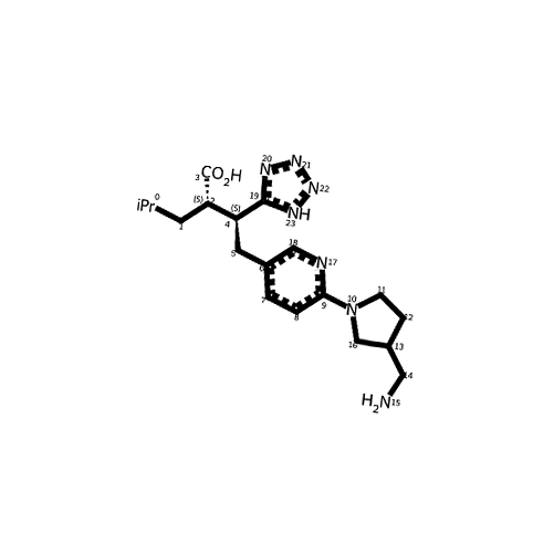 CC(C)C[C@H](C(=O)O)[C@H](Cc1ccc(N2CCC(CN)C2)nc1)c1nnn[nH]1